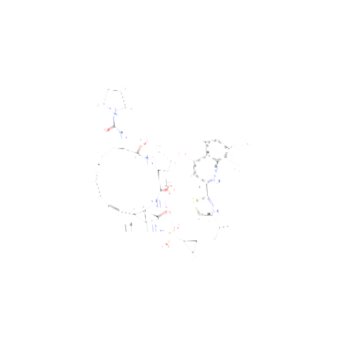 COc1ccc2c(O[C@@H]3C[C@H]4C(=O)N[C@]5(C(=O)NS(=O)(=O)C6CC6)C[C@H]5C=CCCCCC[C@H](NC(=O)N5CCCC5)C(=O)N4C3)cc(-c3nc(C(C)C)cs3)nc2c1C